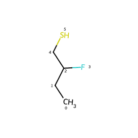 CCC(F)CS